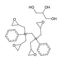 OCC(O)CO.c1ccc([N+](CC2CO2)(CC2CO2)C[N+](CC2CO2)(CC2CO2)c2ccccc2)cc1